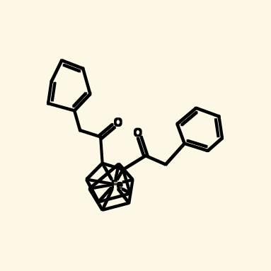 O=C(Cc1ccccc1)[C]12[CH]3[CH]4[CH]5[C]1(C(=O)Cc1ccccc1)[Fe]43521678[CH]2[CH]1[CH]6[CH]7[CH]28